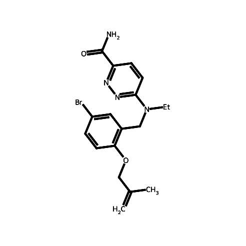 C=C(C)COc1ccc(Br)cc1CN(CC)c1ccc(C(N)=O)nn1